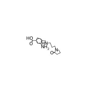 Nc1cc(C(=O)O)ccc1CNCCCN1CCCC1=O